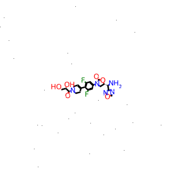 NC(c1ncon1)[C@@H]1CN(c2cc(F)c(C3=CCN(C(=O)[C@@H](O)CO)CC3)c(F)c2)C(=O)O1